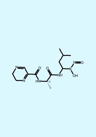 CC(C)CC(NC(=O)[C@H](C)NC(=O)C1=NCCN=C1)B(O)N=O